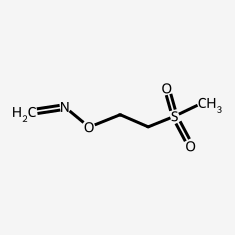 C=NOCCS(C)(=O)=O